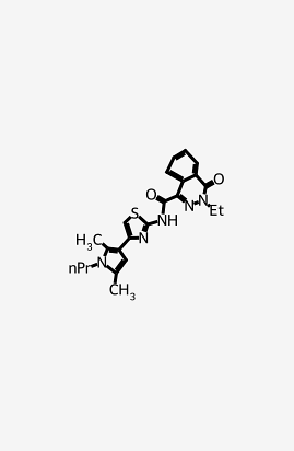 CCCn1c(C)cc(-c2csc(NC(=O)c3nn(CC)c(=O)c4ccccc34)n2)c1C